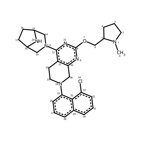 CN1CCCC1COc1nc2c(c(N3CC4CCC(C3)N4)n1)CCN(c1cccc3cccc(Cl)c13)C2